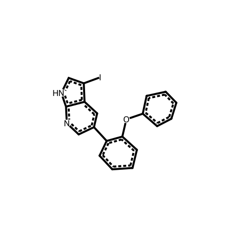 Ic1c[nH]c2ncc(-c3ccccc3Oc3ccccc3)cc12